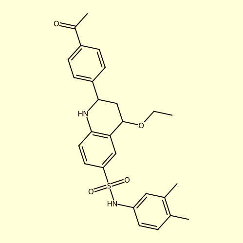 CCOC1CC(c2ccc(C(C)=O)cc2)Nc2ccc(S(=O)(=O)Nc3ccc(C)c(C)c3)cc21